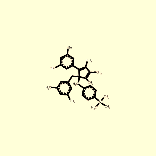 CC1=C(C)C(Cc2cc(C)cc(C)c2)([SiH2]c2ccc([Si](C)(C)C)cc2)C(c2cc(C(C)(C)C)cc(C(C)(C)C)c2)=C1C